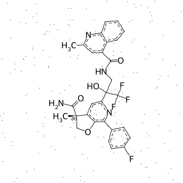 Cc1cc(C(=O)NCC(O)(c2cc3c(c(-c4ccc(F)cc4)n2)OC[C@]3(C)C(N)=O)C(F)(F)F)c2ccccc2n1